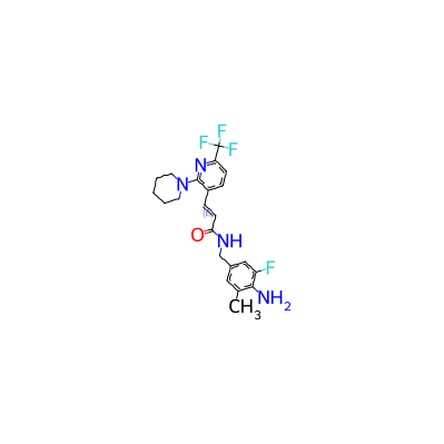 Cc1cc(CNC(=O)/C=C/c2ccc(C(F)(F)F)nc2N2CCCCC2)cc(F)c1N